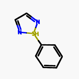 C1=N[SH](c2ccccc2)N=C1